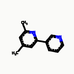 Cc1cc(C)nc(-c2cccnc2)c1